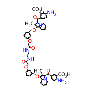 Cc1c(OCc2cccc(OCC(=O)NCCNC(=O)COc3cccc(COc4c(C)c(C(=O)c5ccc(N)c(C(=O)O)c5)n5ccccc45)c3)c2)c2ccccn2c1C(=O)c1ccc(N)c(C(=O)O)c1